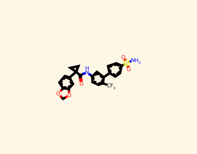 NS(=O)(=O)c1ccc(-c2cc(NC(=O)C3(c4ccc5c(c4)OCO5)CC3)ccc2C(F)(F)F)cc1